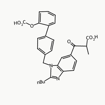 CCCCc1nc2ccc(C(=O)C(C)C(=O)O)cc2n1Cc1ccc(-c2ccccc2OC(=O)O)cc1